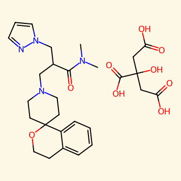 CN(C)C(=O)C(CN1CCC2(CC1)OCCc1ccccc12)Cn1cccn1.O=C(O)CC(O)(CC(=O)O)C(=O)O